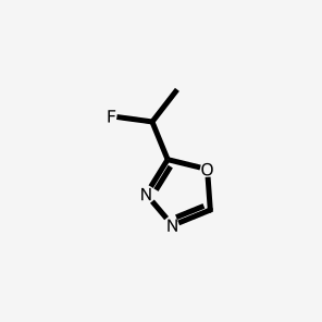 CC(F)c1nnco1